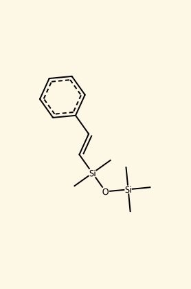 C[Si](C)(C)O[Si](C)(C)C=Cc1ccccc1